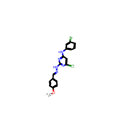 FC(F)(F)Oc1ccc(/C=N/Nc2nc(Cl)cc(Nc3cccc(Br)c3)n2)cc1